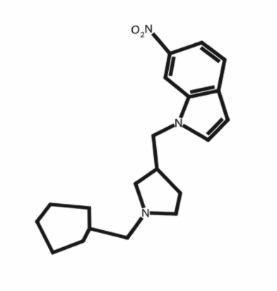 O=[N+]([O-])c1ccc2ccn(CC3CCN(CC4CCCCC4)C3)c2c1